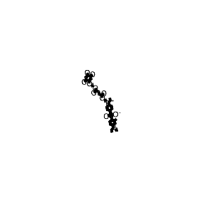 CCN(CC)c1ccc(C2=C([O-])C(=C3C=CC(=[N+](CC)CCOC(=O)CCC(=O)OCCOC4=CC(=O)C(OC)=CC4=O)C=C3)C2=O)c(C)c1